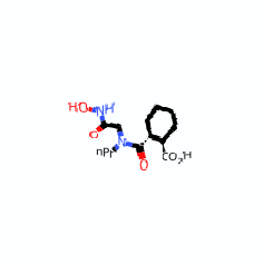 CCCN(CC(=O)NO)C(=O)[C@@H]1CCCC[C@H]1C(=O)O